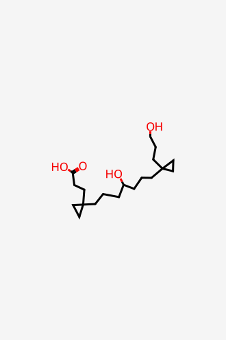 O=C(O)CCC1(CCCC(O)CCCC2(CCCO)CC2)CC1